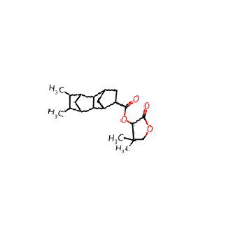 CC1C(C)C2CC1C1C3CC(C(=O)OC4C(=O)OCC4(C)C)C(C3)C21